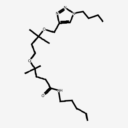 CCCCCNC(=O)CCC(C)(C)OCCC(C)(C)OCc1cn(CCCC)nn1